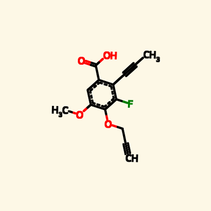 C#CCOc1c(OC)cc(C(=O)O)c(C#CC)c1F